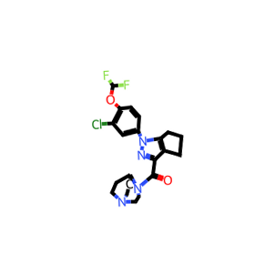 O=C(c1nn(-c2ccc(OC(F)F)c(Cl)c2)c2c1CCC2)N1CCN2CCC1CC2